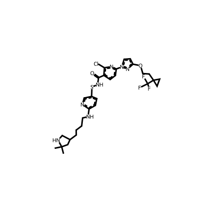 CC1(C)CC(CCCCNc2ccc(SNC(=O)c3ccc(-n4ccc(OCCC5(C(F)(F)F)CC5)n4)nc3Cl)cn2)CN1